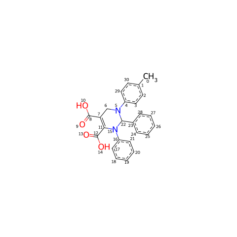 Cc1ccc(N2CC(C(=O)O)=C(C(=O)O)N(c3ccccc3)C2c2ccccc2)cc1